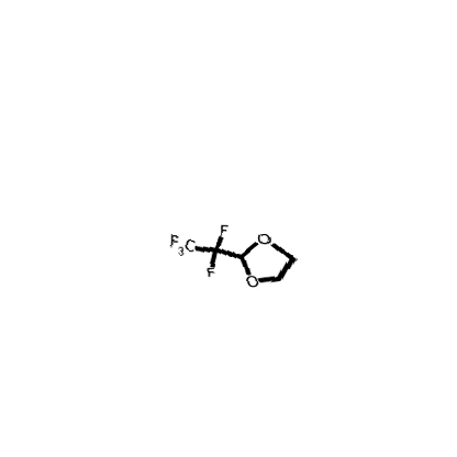 FC(F)(F)C(F)(F)C1OCCO1